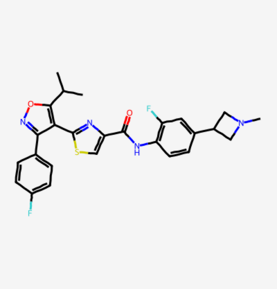 CC(C)c1onc(-c2ccc(F)cc2)c1-c1nc(C(=O)Nc2ccc(C3CN(C)C3)cc2F)cs1